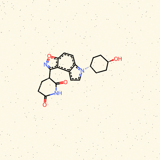 O=C1CCC(c2noc3ccc4c(ccn4[C@H]4CC[C@H](O)CC4)c23)C(=O)N1